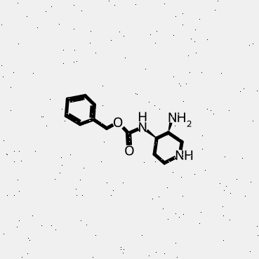 N[C@H]1CNCC[C@H]1NC(=O)OCc1ccccc1